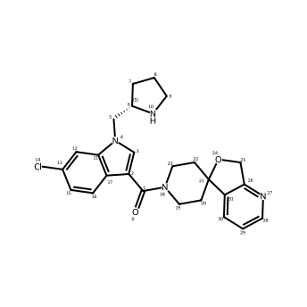 O=C(c1cn(C[C@@H]2CCCN2)c2cc(Cl)ccc12)N1CCC2(CC1)OCc1ncccc12